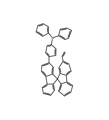 C=Cc1ccc2c(c1)C1(c3ccccc3-2)c2ccccc2-c2ccc(-c3ccc(N(c4ccccc4)c4ccccc4)cc3)cc21